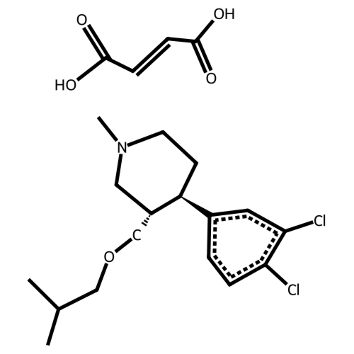 CC(C)COC[C@@H]1CN(C)CC[C@H]1c1ccc(Cl)c(Cl)c1.O=C(O)C=CC(=O)O